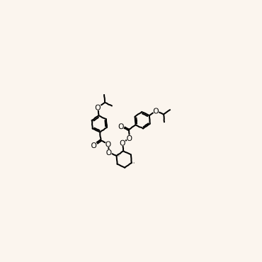 CC(C)Oc1ccc(C(=O)OO[C]2CC[CH]CC2OOC(=O)c2ccc(OC(C)C)cc2)cc1